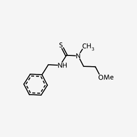 COCCN(C)C(=S)NCc1ccccc1